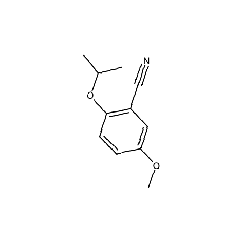 COc1ccc(O[C](C)C)c(C#N)c1